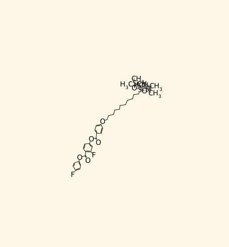 C[Si](C)(C)O[Si](C)(CCCCCCCCCCCOc1ccc(C(=O)Oc2ccc(C(=O)Oc3ccc(F)cc3)c(F)c2)cc1)O[Si](C)(C)C